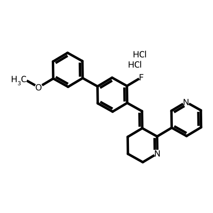 COc1cccc(-c2ccc(C=C3CCCN=C3c3cccnc3)c(F)c2)c1.Cl.Cl